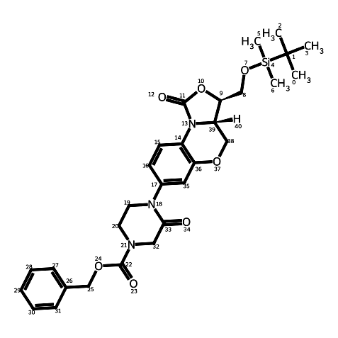 CC(C)(C)[Si](C)(C)OC[C@@H]1OC(=O)N2c3ccc(N4CCN(C(=O)OCc5ccccc5)CC4=O)cc3OC[C@@H]12